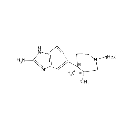 CCCCCCN1CC[C@](C)(c2ccc3[nH]c(N)nc3c2)[C@@H](C)C1